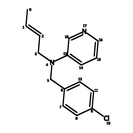 CC=CCN(Cc1ccc(Cl)cc1)c1cccnc1